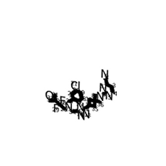 N#Cc1ccnc(N2CC3(CC(c4nnc5n4-c4ccc(Cl)cc4CN(CC(F)(F)C4COC4)C5)C3)C2)n1